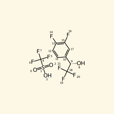 O=S(=O)(O)C(F)(F)F.O[C@@H](c1ccc(F)c(F)c1)C(F)(F)F